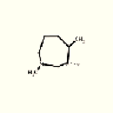 CC1CCCN(C)C[C@H]1I